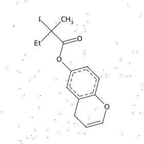 CCC(C)(I)C(=O)Oc1ccc2c(c1)CC=CO2